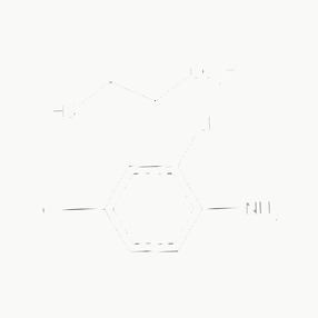 Nc1ccc(Cl)cc1Cl.O=C(O)CCS